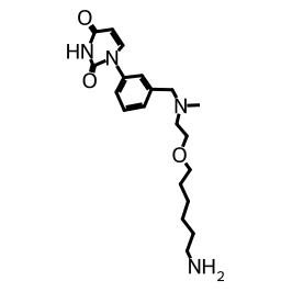 CN(CCOCCCCCCN)Cc1cccc(-n2ccc(=O)[nH]c2=O)c1